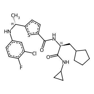 C[C@@H](Nc1ccc(F)c(Cl)c1)c1ccc(C(=O)N[C@@H](CC2CCCC2)C(=O)NC2CC2)s1